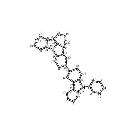 c1cncc(-n2c3ccccc3c3cc(-c4ccc5c(c4)c4cccc6c7ccccc7n5c64)ccc32)c1